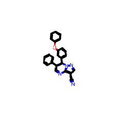 N#Cc1cnn2c(-c3cccc(Oc4ccccc4)c3)c(-c3ccccc3)cnc12